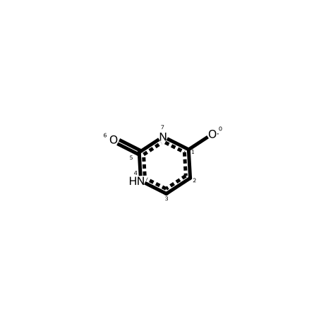 [O]c1cc[nH]c(=O)n1